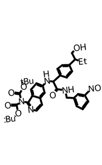 CCC(CO)c1ccc(C(Nc2ccc3c(N(C(=O)OC(C)(C)C)C(=O)OC(C)(C)C)nccc3c2)C(=O)NCc2cccc([N+](=O)[O-])c2)cc1